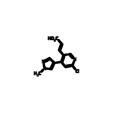 Cn1cc(-c2cc(Cl)ncc2C=CC(=O)O)cn1